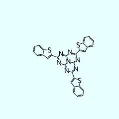 c1ccc2sc(C3=NC4=NC(c5cc6ccccc6s5)=NC5=NC(c6cc7ccccc7s6)=NC(=N3)N45)cc2c1